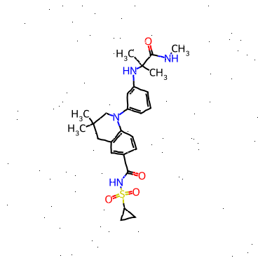 CNC(=O)C(C)(C)Nc1cccc(N2CC(C)(C)Cc3cc(C(=O)NS(=O)(=O)C4CC4)ccc32)c1